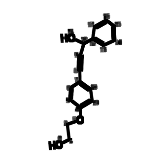 OCCOc1ccc(C#CC(O)c2ccccc2)cc1